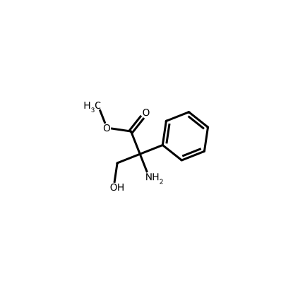 COC(=O)C(N)(CO)c1ccccc1